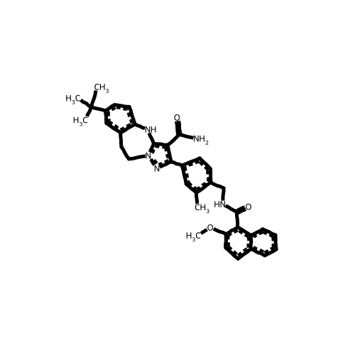 COc1ccc2ccccc2c1C(=O)NCc1ccc(-c2nn3c(c2C(N)=O)Nc2ccc(C(C)(C)C)cc2CC3)cc1C